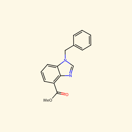 COC(=O)c1cccc2c1ncn2Cc1ccccc1